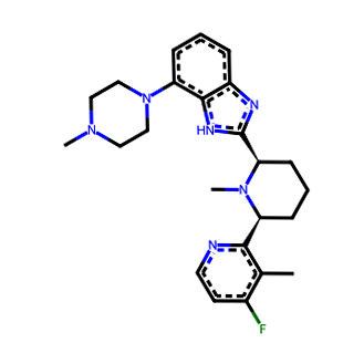 Cc1c(F)ccnc1[C@@H]1CCC[C@H](c2nc3cccc(N4CCN(C)CC4)c3[nH]2)N1C